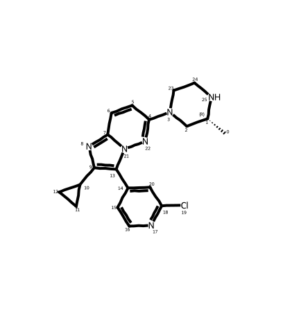 C[C@@H]1CN(c2ccc3nc(C4CC4)c(-c4ccnc(Cl)c4)n3n2)CCN1